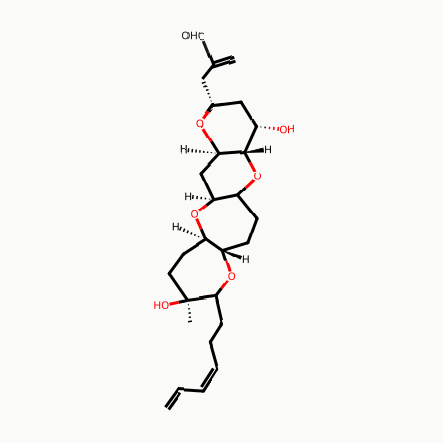 C=C/C=C\CCC1O[C@H]2CCC3O[C@H]4[C@@H](O)C[C@@H](CC(=C)C=O)O[C@@H]4C[C@@H]3O[C@@H]2CC[C@]1(C)O